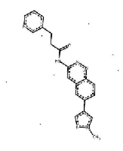 Cn1cc(-c2ccc3nnc(NC(=O)CCc4cccnc4)cc3c2)cn1